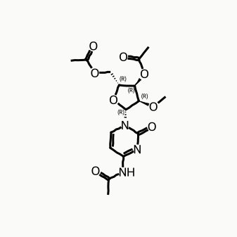 CO[C@@H]1[C@H](OC(C)=O)[C@@H](COC(C)=O)O[C@H]1n1ccc(NC(C)=O)nc1=O